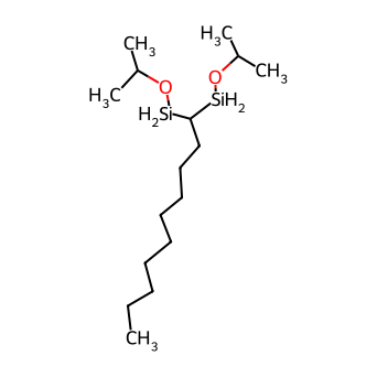 CCCCCCCCCC([SiH2]OC(C)C)[SiH2]OC(C)C